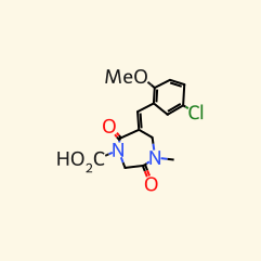 COc1ccc(Cl)cc1C=C1CN(C)C(=O)CN(C(=O)O)C1=O